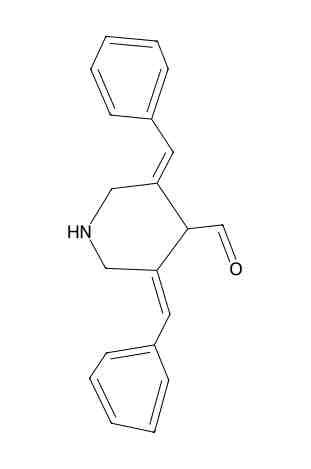 O=CC1C(=Cc2ccccc2)CNCC1=Cc1ccccc1